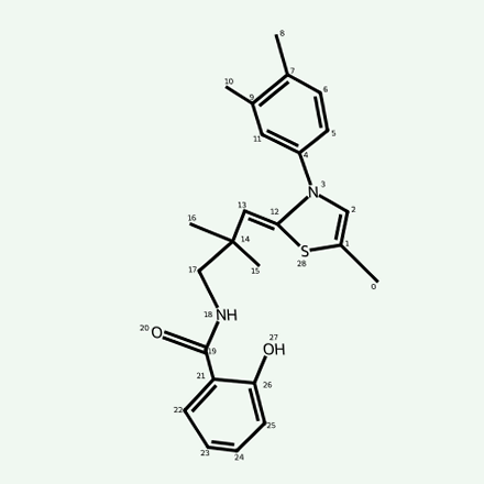 CC1=CN(c2ccc(C)c(C)c2)C(=CC(C)(C)CNC(=O)c2ccccc2O)S1